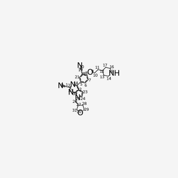 N#Cc1nc(-c2ccc(OCCC3CCNCC3)c(C#N)c2)c2ccn(CC3CCOC3)c2n1